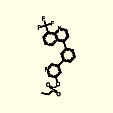 CCS(=O)(=O)Oc1cncc(-c2cccc(-c3ccnc4c(C(F)(F)F)cccc34)c2)c1